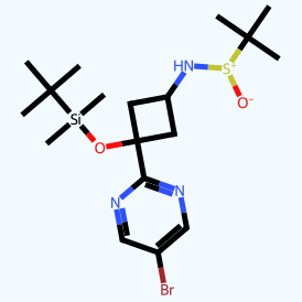 CC(C)(C)[S+]([O-])NC1CC(O[Si](C)(C)C(C)(C)C)(c2ncc(Br)cn2)C1